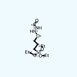 CCO[Si](CCCONNP=O)(OCC)OCC